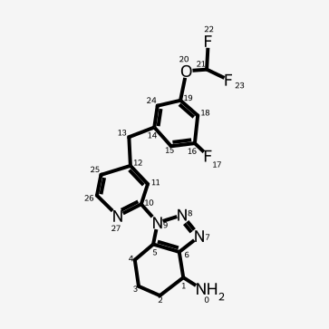 NC1CCCc2c1nnn2-c1cc(Cc2cc(F)cc(OC(F)F)c2)ccn1